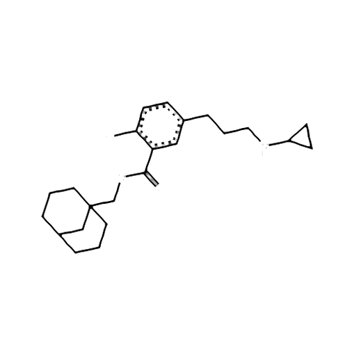 O=C(NCC12CCCC(CCC1)C2)c1cc(CCCNC2CC2)ccc1Cl.[CH2]